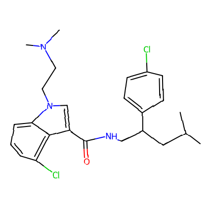 CC(C)CC(CNC(=O)c1cn(CCN(C)C)c2cccc(Cl)c12)c1ccc(Cl)cc1